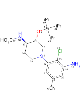 CC(C)[Si](O[C@@H]1CN(c2cc(C#N)cc(N)c2Cl)CC[C@H]1NC(=O)O)(C(C)C)C(C)C